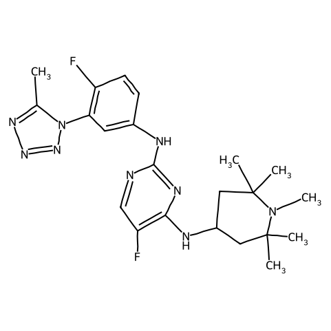 Cc1nnnn1-c1cc(Nc2ncc(F)c(NC3CC(C)(C)N(C)C(C)(C)C3)n2)ccc1F